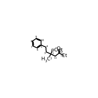 CCCCCCCCC(C)(CCc1ccccc1)CC(=O)CC